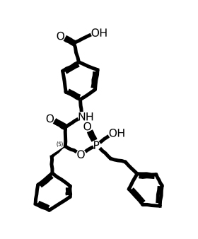 O=C(O)c1ccc(NC(=O)[C@H](Cc2ccccc2)OP(=O)(O)CCc2ccccc2)cc1